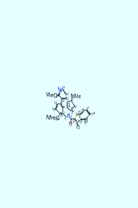 CN[C@H]1CC[C@H](N(Cc2cc(-c3cccnc3OC)ccc2OC)C(=O)c2sc3cccc(F)c3c2Cl)CC1